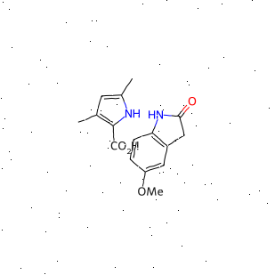 COc1ccc2c(c1)CC(=O)N2.Cc1cc(C)c(C(=O)O)[nH]1